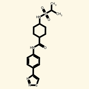 CC(C)S(=O)(=O)NC1CCC(C(=O)Nc2ccc(-c3csnn3)cc2)CC1